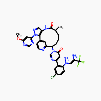 COc1cc(-n2ncc3c2-c2ccnc(c2)C(n2cnc(-c4cc(Cl)ccc4N(N)/C=C(\N)C(F)(F)F)cc2=O)CCCC(C)C(=O)N3)ncn1